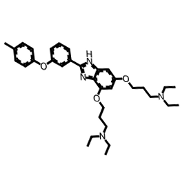 CCN(CC)CCCOc1cc(OCCCN(CC)CC)c2nc(-c3cccc(Oc4ccc(C)cc4)c3)[nH]c2c1